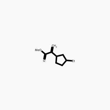 C=C(C(=O)OC)C1CCC(CC)C1